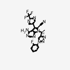 C[C@@H](c1cn(-c2ccccc2F)nn1)n1c(C#N)c(-c2cnc(C(F)(F)F)nc2)c2c(N)ncnc21